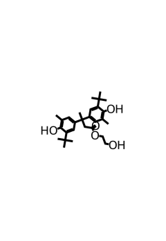 Cc1cc(C(C)(CC(=O)OCCO)c2cc(C)c(O)c(C(C)(C)C)c2)cc(C(C)(C)C)c1O